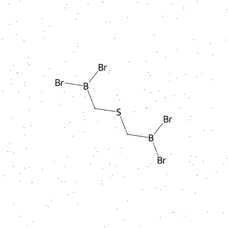 BrB(Br)CSCB(Br)Br